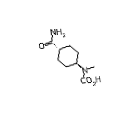 CN(C(=O)O)[C@H]1CC[C@H](C(N)=O)CC1